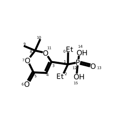 CCC(CC)(C1=CC(=O)OC(C)(C)O1)P(=O)(O)O